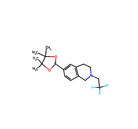 CC1(C)OB(c2ccc3c(c2)CCN(CC(F)(F)F)C3)OC1(C)C